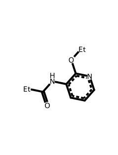 CCOc1ncccc1NC(=O)CC